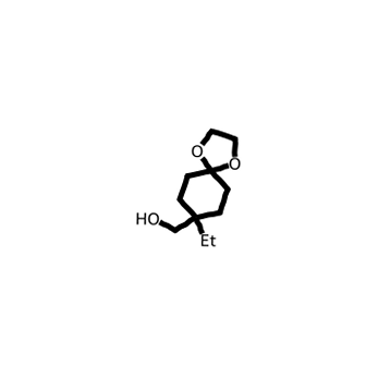 CCC1(CO)CCC2(CC1)OCCO2